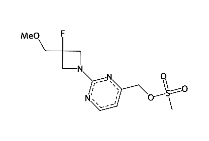 COCC1(F)CN(c2nccc(COS(C)(=O)=O)n2)C1